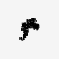 CCOC(=O)CC(=O)Nc1cc(C)c(Oc2ccc(OS(=O)(=O)C(F)(F)F)c(CC)c2O)c2c1CCC2